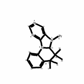 CC(C)N1c2cncnc2N2c3ccccc3C(C)(C)C(C)(C)C21